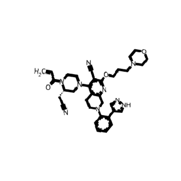 C=CC(=O)N1CCN(c2c(C#N)c(OCCCN3CCOCC3)nc3c2CCN(c2ccccc2-c2cn[nH]c2)C3)C[C@@H]1CC#N